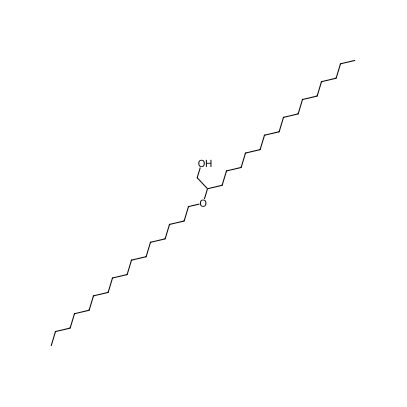 CCCCCCCCCCCCCCCCOC(CO)CCCCCCCCCCCCCCC